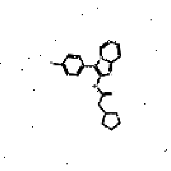 O=C(CC1CCCC1)Nc1nc2ccccn2c1-c1ccc(F)cc1